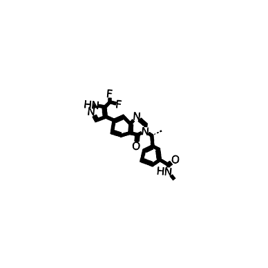 CNC(=O)c1cccc([C@@H](C)n2cnc3cc(-c4cn[nH]c4C(F)F)ccc3c2=O)c1